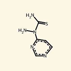 NC(=S)N(N)c1ccncn1